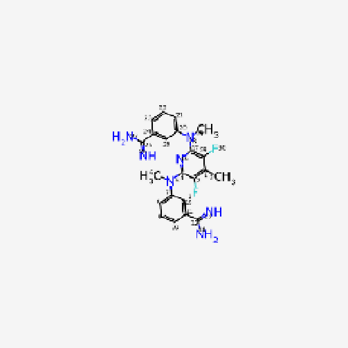 Cc1c(F)c(N(C)c2cccc(C(=N)N)c2)nc(N(C)c2cccc(C(=N)N)c2)c1F